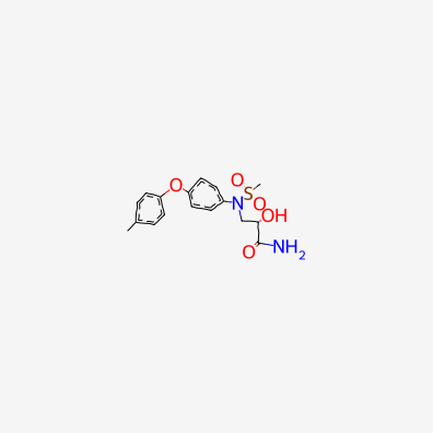 Cc1ccc(Oc2ccc(N(C[C@H](O)C(N)=O)S(C)(=O)=O)cc2)cc1